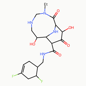 CCN1CNCC(O)C2NC(C1=O)C(O)C(=O)C2C(=O)NCC1CC=C(F)CC1F